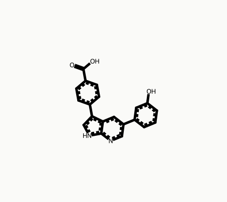 O=C(O)c1ccc(-c2c[nH]c3ncc(-c4cccc(O)c4)cc23)cc1